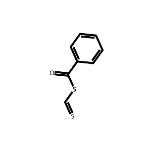 O=C(SC=S)c1ccccc1